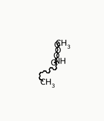 CC/C=C\C/C=C\C/C=C\C/C=C\C/C=C\C/C=C\CCC(=O)NCCOCCOCCOC